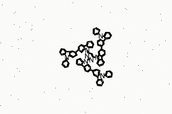 c1ccc(-n2c3ccccc3c3cc(-c4ccc5c6ccccc6n(-c6cc(-n7c8ccccc8c8ccc(-c9ccc%10c(c9)c9ccccc9n%10-c9ccccc9)cc87)nc(-n7c8ccccc8c8ccc(-c9ccc%10c(c9)c9ccccc9n%10-c9ccccc9)cc87)n6)c5c4)ccc32)cc1